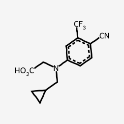 N#Cc1ccc(N(CC(=O)O)CC2CC2)cc1C(F)(F)F